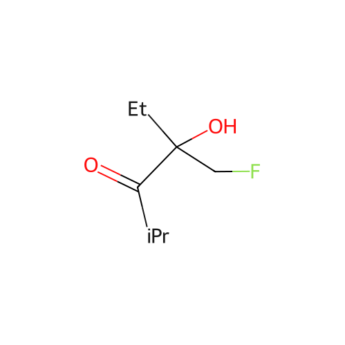 CCC(O)(CF)C(=O)C(C)C